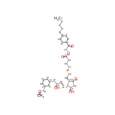 CCCCCc1ccc(C(=O)COC(=O)CCCSCC[C@H]2C(=O)C[C@@H](O)[C@@H]2C=C[C@@H](O)Cc2cccc(COC)c2)cc1